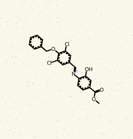 COC(=O)c1ccc(/N=C/c2cc(Cl)c(OCc3ccccc3)c(Cl)c2)c(O)c1